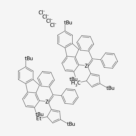 CC1C=C(C(C)(C)C)C=[C]1[Zr](=[C](c1ccccc1)c1ccccc1)[c]1c(C(C)(C)C)ccc2c1Cc1cc(C(C)(C)C)ccc1-2.CCC1C=C(C(C)(C)C)C=[C]1[Zr](=[C](c1ccccc1)c1ccccc1)[c]1c(C(C)(C)C)ccc2c1Cc1cc(C(C)(C)C)ccc1-2.[Cl-].[Cl-].[Cl-].[Cl-]